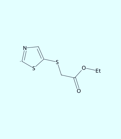 CCOC(=O)CSc1cn[c]s1